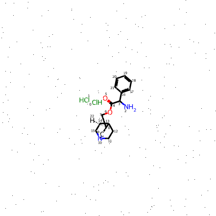 Cl.Cl.NC(C(=O)OC[C@@H]1CN2CCC1CC2)c1ccccc1